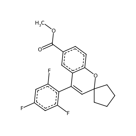 COC(=O)c1ccc2c(c1)C(c1c(F)cc(F)cc1F)=CC1(CCCC1)O2